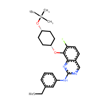 CSCc1cccc(Nc2ncc3ccc(F)c(O[C@H]4CC[C@@H](O[Si](C)(C)C(C)(C)C)CC4)c3n2)c1